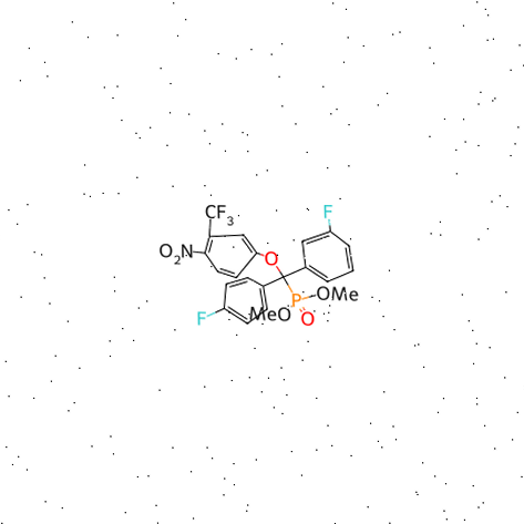 COP(=O)(OC)C(Oc1ccc([N+](=O)[O-])c(C(F)(F)F)c1)(c1ccc(F)cc1)c1cccc(F)c1